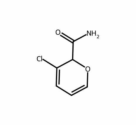 NC(=O)C1OC=CC=C1Cl